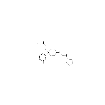 CC(C)(C)OC(=O)NCC1(c2cccc(Cl)c2)CCC(NCC(=O)N2CCCC2C(=O)O)CC1